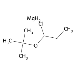 CCC(Cl)OC(C)(C)C.[MgH2]